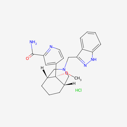 CO[C@@]1(c2ccnc(C(N)=O)c2)[C@@H]2CCC[C@H]1CN(Cc1n[nH]c3ccccc13)C2.Cl